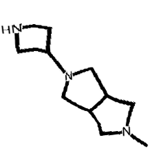 CN1CC2CN(C3CNC3)CC2C1